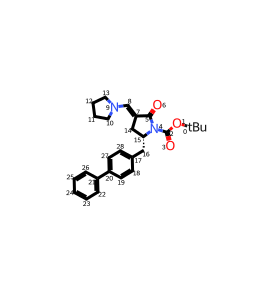 CC(C)(C)OC(=O)N1C(=O)C(=CN2CCCC2)C[C@H]1Cc1ccc(-c2ccccc2)cc1